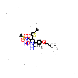 C[C@@]1(c2ccc(OCCCC(F)(F)F)cc2)CC(c2ccc(C3CC3)s2)=C(C(=O)NS(=O)(=O)C2CC2)C(=O)N1